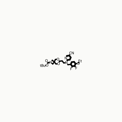 CCOc1ccc(CN(CCC2OCC3(CO2)CN(C(=O)OC(C)(C)C)C3)c2ccc(C#N)cn2)c(F)c1F